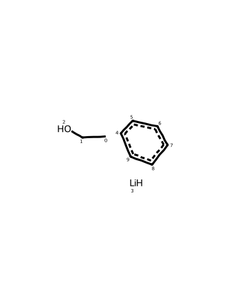 CCO.[LiH].c1ccccc1